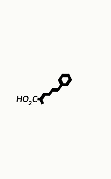 CC(=CC/C=C/c1ccccc1)C(=O)O